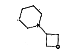 [CH]1CCCN(C2COC2)C1